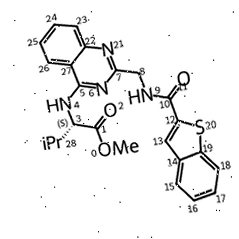 COC(=O)[C@@H](Nc1nc(CNC(=O)c2cc3ccccc3s2)nc2ccccc12)C(C)C